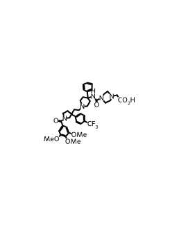 COc1cc(C(=O)N2CCC(CCN3CCC(NC(=O)N4CCN(CC(=O)O)CC4)(c4ccccc4)CC3)(c3ccc(C(F)(F)F)cc3)C2)cc(OC)c1OC